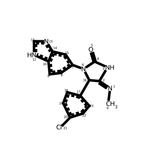 C/N=C1/NC(=O)N(c2ccc3[nH]cnc3c2)C1c1ccc(Cl)cc1